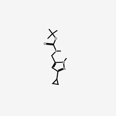 CN(Cc1cc(C2CC2)nn1C)C(=O)OC(C)(C)C